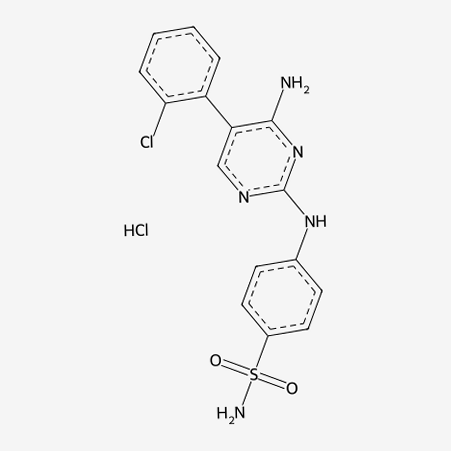 Cl.Nc1nc(Nc2ccc(S(N)(=O)=O)cc2)ncc1-c1ccccc1Cl